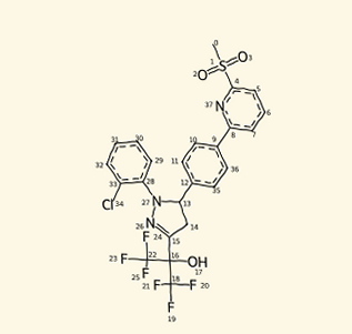 CS(=O)(=O)c1cccc(-c2ccc(C3CC(C(O)(C(F)(F)F)C(F)(F)F)=NN3c3ccccc3Cl)cc2)n1